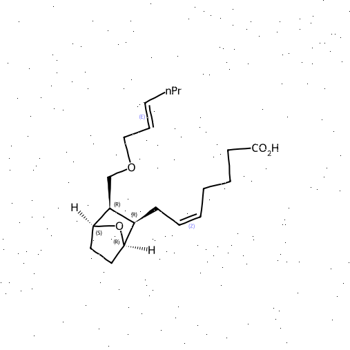 CCC/C=C/COC[C@H]1[C@@H](C/C=C\CCCC(=O)O)[C@H]2CC[C@@H]1O2